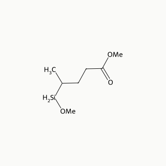 CO[SiH2]C(C)CCC(=O)OC